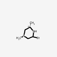 CCC1CN(C)C[C@H](C)N1